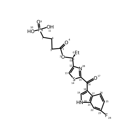 CC[C@H](OC(=O)CCCP(=O)(O)O)c1csc(C(=O)c2c[nH]c3cc(F)ccc23)n1